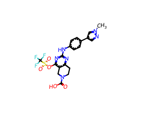 Cn1cc(-c2ccc(Nc3nc4c(c(OS(=O)(=O)C(F)(F)F)n3)CN(C(=O)O)CC4)cc2)cn1